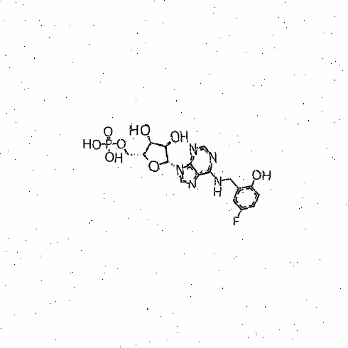 O=P(O)(O)OC[C@H]1O[C@@H](n2cnc3c(NCc4cc(F)ccc4O)ncnc32)[C@H](O)[C@@H]1O